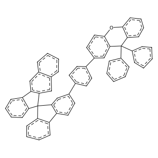 c1ccc(C2(c3ccccc3)c3ccccc3Oc3ccc(-c4ccc(-c5ccc6c(c5)C5(c7ccccc7-6)c6ccccc6-c6cc7ccccc7cc65)cc4)cc32)cc1